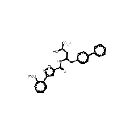 COc1ccccc1-c1cc(C(=O)NC(Cc2ccc(-c3ccccc3)cc2)C[C@@H](O)C(=O)O)on1